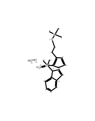 C[Si](C)(C)OCCC1=[C]([Zr]([CH3])([CH3])(=[SiH2])[CH]2C=Cc3ccccc32)CC=C1.Cl.Cl